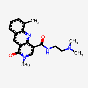 CCCCn1cc(C(=O)NCCN(C)C)c2nc3c(C)cccc3cc2c1=O